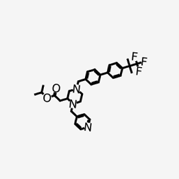 CC(C)OC(=O)CC1CN(Cc2ccc(-c3ccc(C(C)(C)C(F)(F)F)cc3)cc2)CCN1Cc1ccncc1